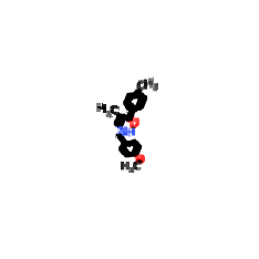 COc1ccc(CNC=C(C)C(=O)c2ccc(C)cc2)cc1